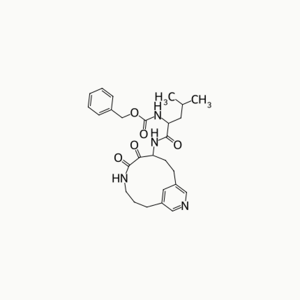 CC(C)CC(NC(=O)OCc1ccccc1)C(=O)NC1CCc2cncc(c2)CCCNC(=O)C1=O